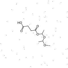 COC(C)OC(C)OC(=O)CCC(=O)O